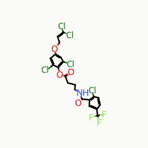 O=C(CCCNC(=O)c1cc(C(F)(F)F)ccc1Cl)Oc1c(Cl)cc(OCC=C(Cl)Cl)cc1Cl